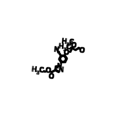 CCOC(=O)c1cnn(-c2ccc(OCC(C)(CC=O)OC)c(C#N)c2)c1